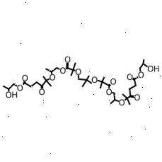 CC(O)COC(=O)CCC(=O)C(C)(C)OC(C)COC(=O)C(C)(C)OCC(C)(C)COC(C)(C)C(=O)OCC(C)OC(C)(C)C(=O)CCC(=O)OCC(C)O